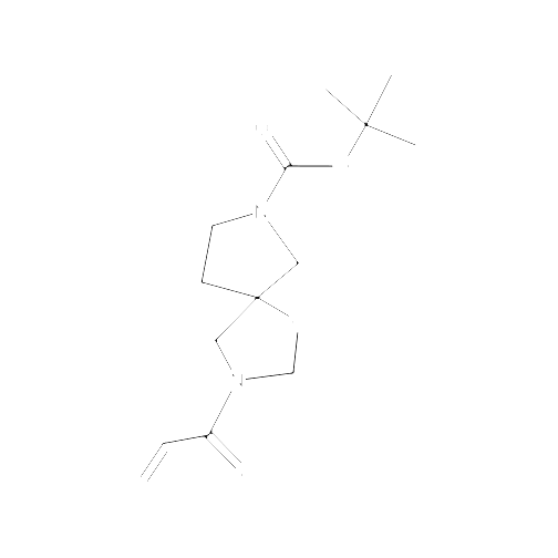 C=CC(=O)N1COC2(CCN(C(=O)OC(C)(C)C)C2)C1